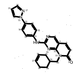 O=c1ccc2cnc(Nc3ccc(-n4cccn4)cc3)nc2n1CC1CC=CCC1